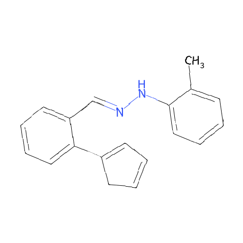 Cc1ccccc1NN=Cc1ccccc1C1=CC=CC1